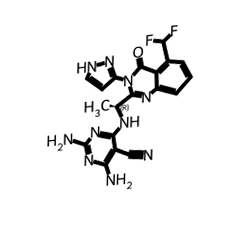 C[C@@H](Nc1nc(N)nc(N)c1C#N)c1nc2cccc(C(F)F)c2c(=O)n1-c1cc[nH]n1